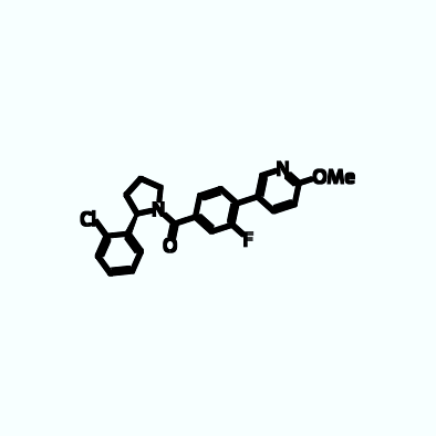 COc1ccc(-c2ccc(C(=O)N3CCC[C@@H]3c3ccccc3Cl)cc2F)cn1